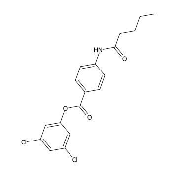 CCCCC(=O)Nc1ccc(C(=O)Oc2cc(Cl)cc(Cl)c2)cc1